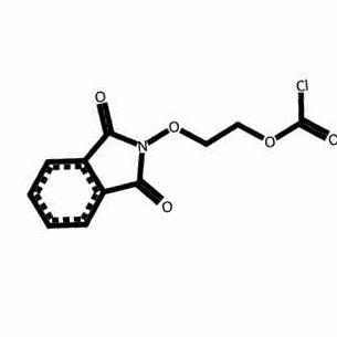 O=C(Cl)OCCON1C(=O)c2ccccc2C1=O